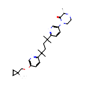 CNC1(COc2ccc(C(C)(C)CCC(C)(C)c3ccc(N4CCN[C@H](C)C4=O)cn3)nc2)CC1